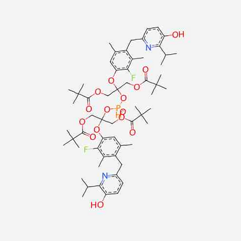 Cc1cc(OC(COC(=O)C(C)(C)C)(COC(=O)C(C)(C)C)O[PH](=O)OC(COC(=O)C(C)(C)C)(COC(=O)C(C)(C)C)Oc2cc(C)c(Cc3ccc(O)c(C(C)C)n3)c(C)c2F)c(F)c(C)c1Cc1ccc(O)c(C(C)C)n1